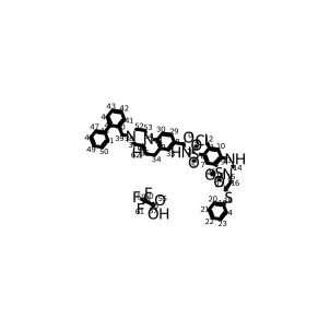 O=C(NS(=O)(=O)c1cc2c(cc1Cl)NCN(CCSc1ccccc1)S2(=O)=O)c1ccc2c(c1)CC[C@H]1CN(Cc3ccccc3-c3ccccc3)CCN21.O=C(O)C(F)(F)F